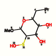 COC1OC(CC(C)C)C(O)C(O)C1SO